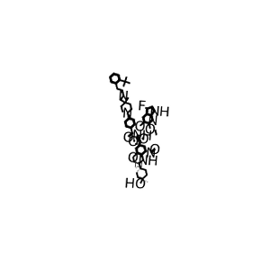 CCOc1nc2[nH]cc(F)c2cc1Oc1cc(N2CCC3(CC2)CN(CCc2ccccc2C(C)(C)C)C3)ccc1C(=O)NS(=O)(=O)c1cc(N=O)c2c(c1)OC[C@H]([C@H]1CC[C@](C)(O)CC1)N2